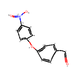 O=Cc1ccc(Oc2ccc([N+](=O)[O-])cc2)cc1